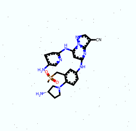 CS(=O)(=O)Cc1cc(Nc2cc(Nc3ccc(N)cn3)n3ncc(C#N)c3n2)ccc1N1CC[C@H](N)C1